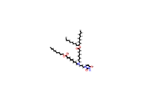 CCCCCCCCCOC(=O)CCCCCCCN(CCCCCCCC(=O)OC(CCCCCCCC)CCCCCCCC)CCCn1ccc(=O)[nH]c1=O